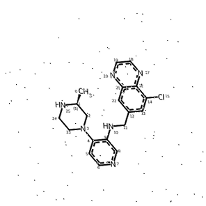 C[C@H]1CN(c2ccncc2NCc2cc(Cl)c3nccnc3c2)CCN1